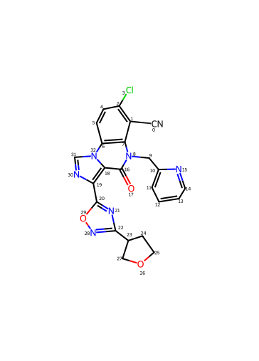 N#Cc1c(Cl)ccc2c1n(Cc1ccccn1)c(=O)c1c(-c3nc(C4CCOC4)no3)ncn12